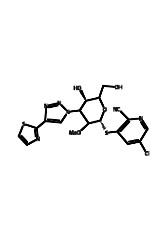 COC1C(n2cc(-c3nccs3)nn2)[C@@H](O)C(CO)O[C@@H]1Sc1cc(Cl)cnc1C#N